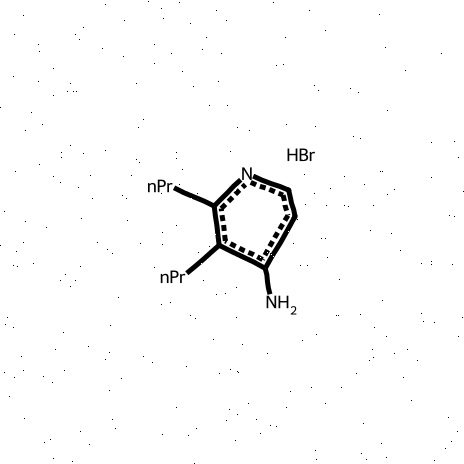 Br.CCCc1nccc(N)c1CCC